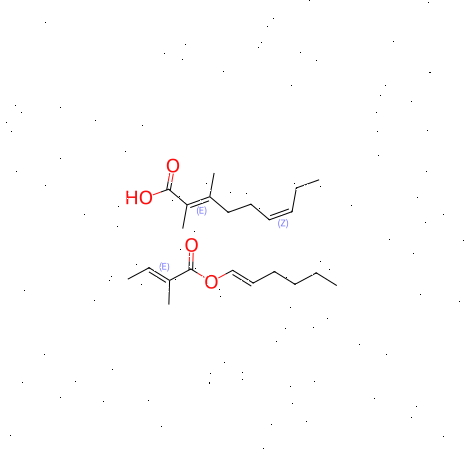 C/C=C(\C)C(=O)OC=CCCCC.CC/C=C\CC/C(C)=C(\C)C(=O)O